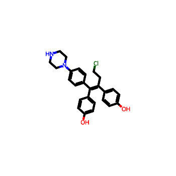 Oc1ccc(C(CCCl)=C(c2ccc(O)cc2)c2ccc(N3CCNCC3)cc2)cc1